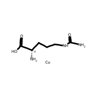 NC(=O)NCCC[C@H](N)C(=O)O.[Cu]